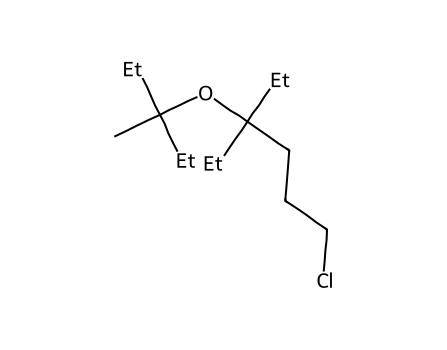 CCC(C)(CC)OC(CC)(CC)CCCCl